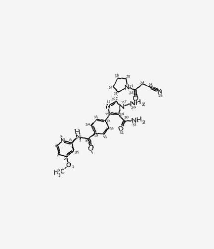 COc1ccnc(NC(=O)c2ccc(-c3nc([C@@H]4CCCN4C(=O)CC#N)n(N)c3C(N)=O)cc2)c1